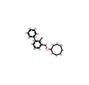 Cc1c(COC2CCCCCCC2)cccc1-c1ccccc1